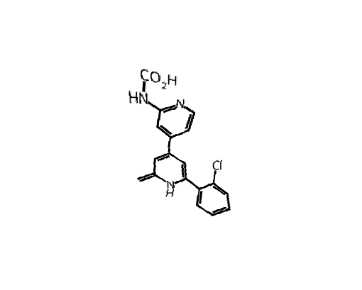 C=C1C=C(c2ccnc(NC(=O)O)c2)C=C(c2ccccc2Cl)N1